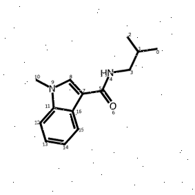 CC(C)CNC(=O)c1cn(C)c2ccccc12